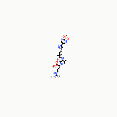 CC(C)[C@H](NC(=O)C(C)(C)CCn1cc(-c2cnc(S(C)(=O)=O)nc2)nn1)C(=O)N[C@@H](CCCNC(N)=O)C(=O)O